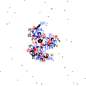 CC[C@H](C)[C@H](NC(=O)[C@@H](NC(=O)[C@H](CC(C)C)NC(=O)[C@@H](NC(=O)CNC(=O)[C@H](Cc1ccc(O)cc1)NC(=O)[C@@H]1CCCN1C(=O)[C@H](CC(C)C)NC(=O)[C@@H](NC(=O)[C@@H](NC(=O)[C@@H](N)CCCCN)C(C)C)[C@@H](C)CC)[C@@H](C)O)C(C)C)C(=O)N[C@@H](CC(=O)O)C(=O)NCC(=O)N[C@H](C(=O)N[C@H](C(=O)N1CCC[C@H]1C(=O)N[C@@H](CC(N)=O)C(=O)N(C)[C@H](C(=O)N[C@@H](CC(N)=O)C(=O)O)C(C)(C)C)[C@@H](C)O)C(C)C